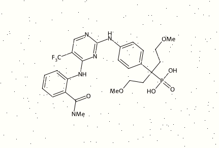 CNC(=O)c1ccccc1Nc1nc(Nc2ccc(C(CCOC)(CCOC)P(=O)(O)O)cc2)ncc1C(F)(F)F